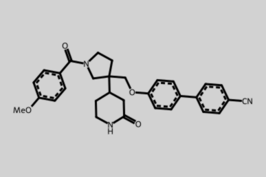 COc1ccc(C(=O)N2CCC(COc3ccc(-c4ccc(C#N)cc4)cc3)(C3CCNC(=O)C3)C2)cc1